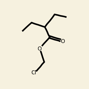 CCC(CC)C(=O)OCCl